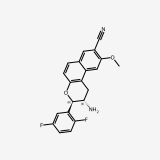 COc1cc2c3c(ccc2cc1C#N)O[C@H](c1cc(F)ccc1F)[C@@H](N)C3